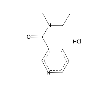 CCN(C)C(=O)c1cccnc1.Cl